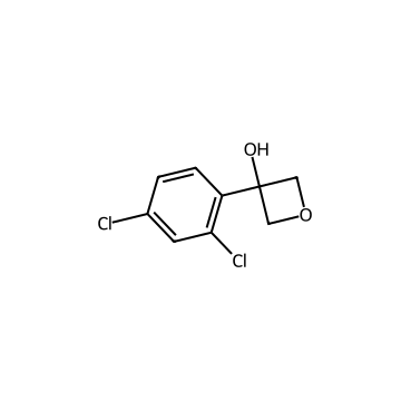 OC1(c2ccc(Cl)cc2Cl)COC1